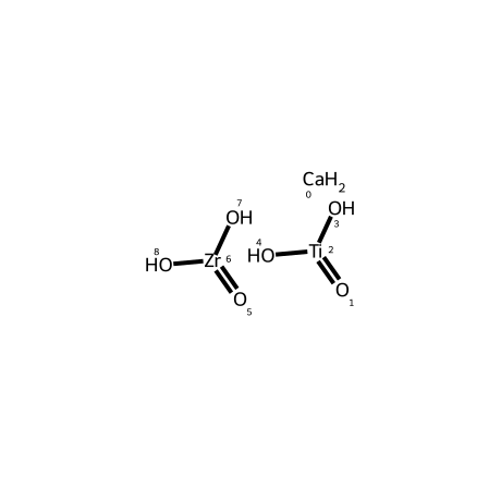 [CaH2].[O]=[Ti]([OH])[OH].[O]=[Zr]([OH])[OH]